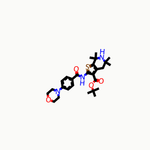 CC1(C)Cc2c(sc(NC(=O)c3ccc(N4CCOCC4)cc3)c2C(=O)OC(C)(C)C)C(C)(C)N1